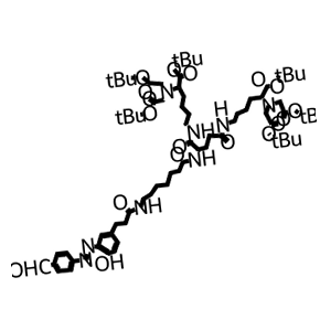 CC(C)(C)OC(=O)CN(CC(=O)OC(C)(C)C)C(CCCCNC(=O)CCC(NC(=O)CCCCCCNC(=O)CCc1ccc(O)c(/N=N/c2ccc(C=O)cc2)c1)C(=O)NCCCCC(C(=O)OC(C)(C)C)N(CC(=O)OC(C)(C)C)CC(=O)OC(C)(C)C)C(=O)OC(C)(C)C